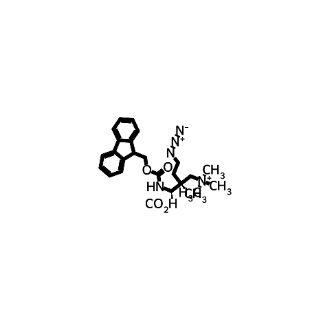 C[C@](CCN=[N+]=[N-])(C[N+](C)(C)C)[C@@H](NC(=O)OCC1c2ccccc2-c2ccccc21)C(=O)O